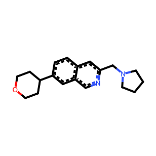 c1cc2cc(CN3CCCC3)ncc2cc1C1CCOCC1